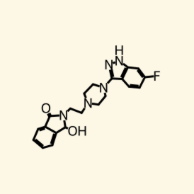 O=C1c2ccccc2C(O)N1CCN1CCN(c2n[nH]c3cc(F)ccc23)CC1